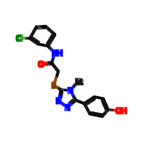 CCn1c(SCC(=O)Nc2cccc(Cl)c2)nnc1-c1ccc(O)cc1